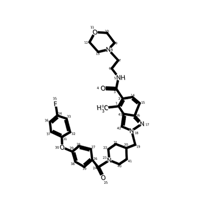 Cc1c(C(=O)NCCN2CCOCC2)ccc2nn(CC3CCN(C(=O)c4ccc(Oc5ccc(F)cc5)cc4)CC3)cc12